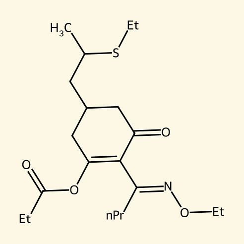 CCCC(=NOCC)C1=C(OC(=O)CC)CC(CC(C)SCC)CC1=O